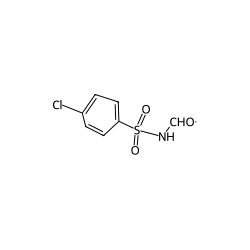 O=[C]NS(=O)(=O)c1ccc(Cl)cc1